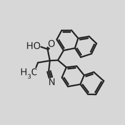 CCC(C#N)(C(=O)O)C(c1ccc2ccccc2c1)c1cccc2ccccc12